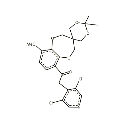 COc1ccc(C(=O)Cc2c(Cl)cncc2Cl)c2c1OCC1(CO2)COC(C)(C)OC1